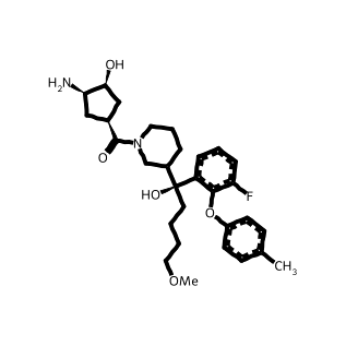 COCCCC[C@@](O)(c1cccc(F)c1Oc1ccc(C)cc1)C1CCCN(C(=O)[C@H]2C[C@@H](N)[C@@H](O)C2)C1